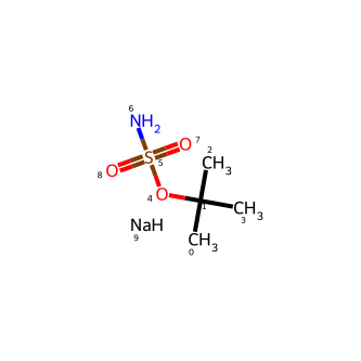 CC(C)(C)OS(N)(=O)=O.[NaH]